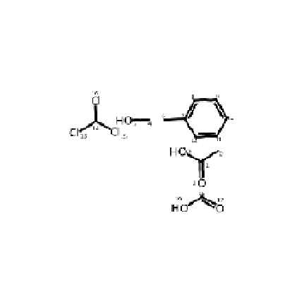 CC(=O)O.CO.Cc1ccccc1.ClC(Cl)Cl.O=CO